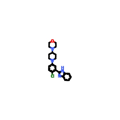 Clc1ccc(N2CCC(N3CCOCC3)CC2)cc1-c1nc2ccccc2[nH]1